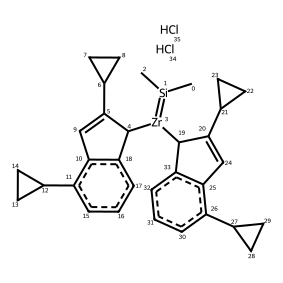 C[Si](C)=[Zr]([CH]1C(C2CC2)=Cc2c(C3CC3)cccc21)[CH]1C(C2CC2)=Cc2c(C3CC3)cccc21.Cl.Cl